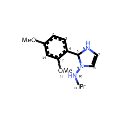 COc1ccc(C2NC=CN2NC(C)C)c(OC)c1